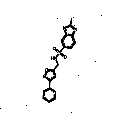 Cc1nc2cc(S(=O)(=O)NCc3cc(-c4ccccc4)no3)ccc2s1